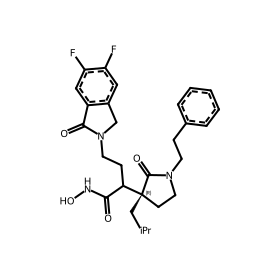 CC(C)C[C@]1(C(CCN2Cc3cc(F)c(F)cc3C2=O)C(=O)NO)CCN(CCc2ccccc2)C1=O